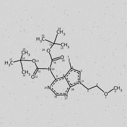 COCCn1cc(I)c2c(N(C(=O)OC(C)(C)C)C(=O)OC(C)(C)C)ncnc21